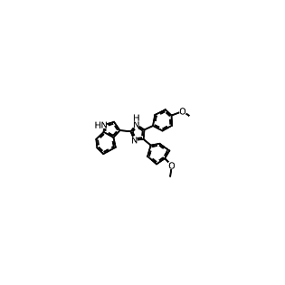 COc1ccc(-c2nc(-c3c[nH]c4ccccc34)[nH]c2-c2ccc(OC)cc2)cc1